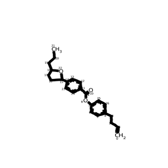 C=CCCc1ccc(OC(=O)c2ccc(C3CCC(CCC)O3)cc2)cc1